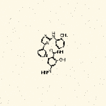 Cc1ccc(NC(=O)c2ccc(N=N)cc2O)cc1Nc1nccc(-c2cccnc2)n1